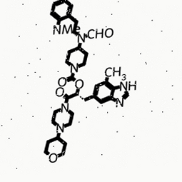 CNc1ccccc1CCN(C=O)C1CCN(C(=O)O[C@H](Cc2cc(C)c3[nH]cnc3c2)C(=O)N2CCN(C3CCOCC3)CC2)CC1